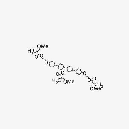 C=C(COC)C(=O)OCCOc1ccc(-c2ccc(-c3ccc(-c4ccc(OCCOC(=O)C(=C)COC)cc4)cc3OC(=O)C(=C)COC)cc2)cc1